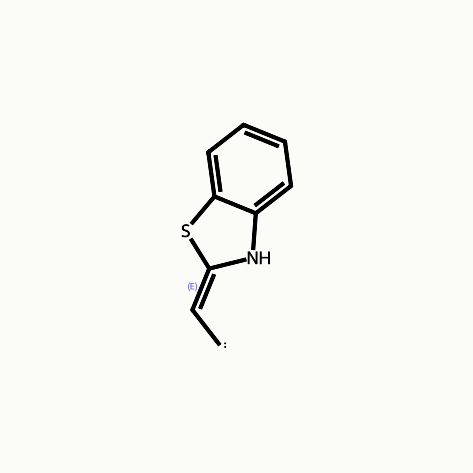 [CH]/C=C1\Nc2ccccc2S1